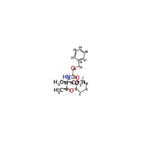 C[C@H](OC1CCCCO1)[C@](C)(NC(=O)OCc1ccccc1)C(=O)O